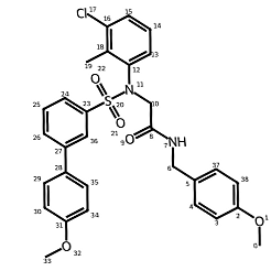 COc1ccc(CNC(=O)CN(c2cccc(Cl)c2C)S(=O)(=O)c2cccc(-c3ccc(OC)cc3)c2)cc1